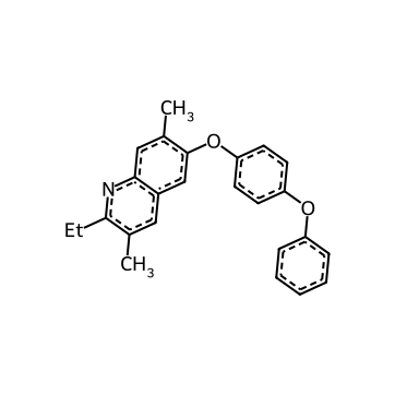 CCc1nc2cc(C)c(Oc3ccc(Oc4ccccc4)cc3)cc2cc1C